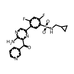 Nc1ncc(-c2cc(S(=O)(=O)NCC3CC3)c(F)cc2F)nc1C(=O)c1cccnc1